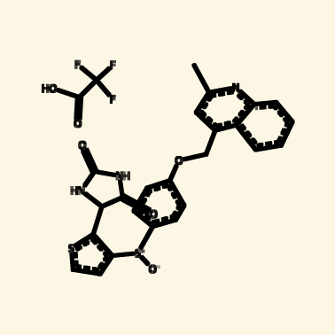 Cc1cc(COc2ccc([S+]([O-])c3ccsc3C3NC(=O)NC3=O)cc2)c2ccccc2n1.O=C(O)C(F)(F)F